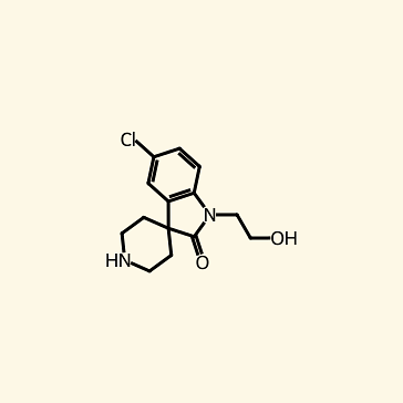 O=C1N(CCO)c2ccc(Cl)cc2C12CCNCC2